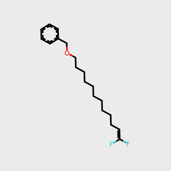 FC(F)=CCCCCCCCCCCOCc1ccccc1